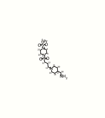 CCCS(=O)(=O)N1CCN(S(=O)(=O)CCCN2CCC(CN)CC2)CC1